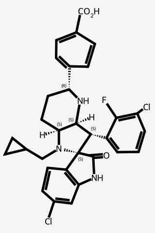 O=C(O)c1ccc([C@H]2CC[C@H]3[C@@H](N2)[C@H](c2cccc(Cl)c2F)[C@]2(C(=O)Nc4cc(Cl)ccc42)N3CC2CC2)cc1